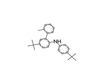 Cc1ccccc1-c1cc(C(C)(C)C)ccc1Nc1ccc(C(C)(C)C)cc1